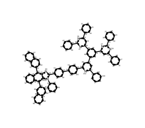 c1ccc(-c2cc(-c3cc(-c4cc(-c5ccccc5)nc(-c5ccccc5)n4)cc(-c4cc(-c5ccccc5)nc(-c5ccccc5)n4)c3)cc(-c3ccc(-c4ccc(-c5nc6c(-c7ccc8ccccc8c7)c7ccccc7c(-c7ccc8ccccc8c7)c6n5-c5ccccc5)cc4)cc3)n2)cc1